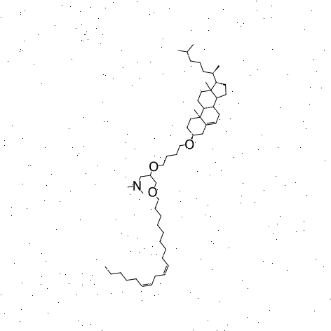 CCCCC/C=C\C/C=C\CCCCCCCCOCC(CN(C)C)OCCCCO[C@H]1CCC2(C)C(=CCC3C2CCC2(C)C3CC[C@@H]2[C@H](C)CCCC(C)C)C1